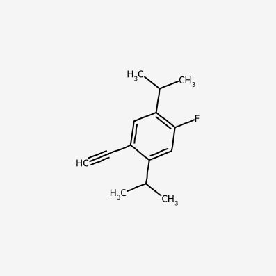 C#Cc1cc(C(C)C)c(F)cc1C(C)C